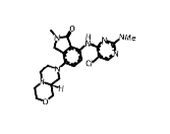 CNc1ncc(Cl)c(Nc2ccc(N3CCN4CCOC[C@H]4C3)c3c2C(=O)N(C)C3)n1